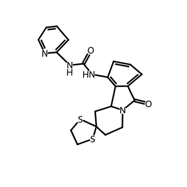 O=C(Nc1ccccn1)Nc1cccc2c1C1CC3(CCN1C2=O)SCCS3